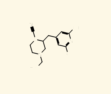 CCN1CCB(C#N)C(Cc2cc(C)nc(C)c2)C1